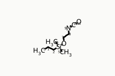 CCC[Si](C)(C)OCCN=C=O